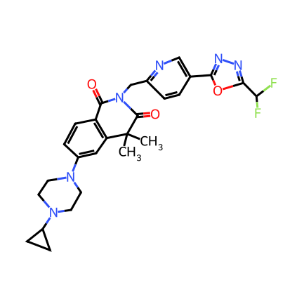 CC1(C)C(=O)N(Cc2ccc(-c3nnc(C(F)F)o3)cn2)C(=O)c2ccc(N3CCN(C4CC4)CC3)cc21